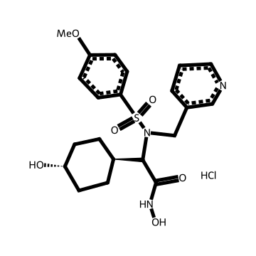 COc1ccc(S(=O)(=O)N(Cc2cccnc2)C(C(=O)NO)[C@H]2CC[C@H](O)CC2)cc1.Cl